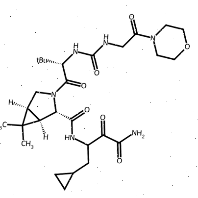 CC(C)(C)[C@H](NC(=O)NCC(=O)N1CCOCC1)C(=O)N1C[C@H]2[C@@H]([C@H]1C(=O)NC(CC1CC1)C(=O)C(N)=O)C2(C)C